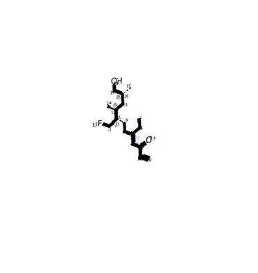 C=CC(=O)/C=C(\CC)CC[C@H](CF)[C@@H](C)C[C@@H](C)CO